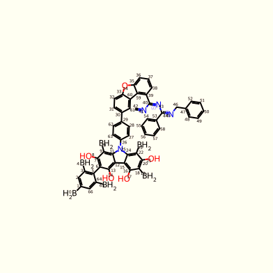 Bc1cc(B)c(-c2c(O)c(B)c3c(c2O)c2c(O)c(B)c(O)c(B)c2n3-c2ccc(-c3ccc4oc5cccc(/C(N=C)=N/C(=N\Cc6ccccc6)c6ccccc6)c5c4c3)cc2)c(B)c1